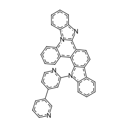 c1cncc(-c2ccnc(-n3c4ccccc4c4ccc5c(c6ccccc6n6c7ccccc7nc56)c43)c2)c1